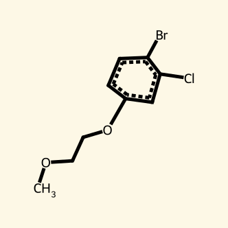 COCCOc1ccc(Br)c(Cl)c1